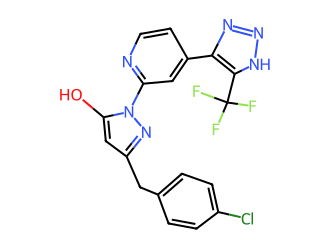 Oc1cc(Cc2ccc(Cl)cc2)nn1-c1cc(-c2nn[nH]c2C(F)(F)F)ccn1